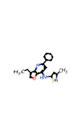 CCc1coc2c(Nc3cc(C)ns3)cc(-c3ccccc3)nc12